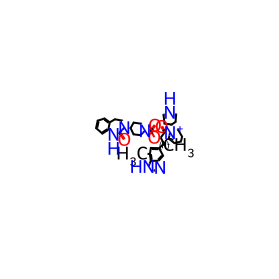 Cc1cc([C@@H](C)C(OC(=O)N2CCC(N3CCc4ccccc4NC3=O)CC2)C(=O)[N+]2(C3CCNCC3)CCCCC2)cc2nc[nH]c12